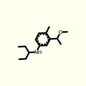 CCC(CC)Nc1ccc(C)c(C(C)OC)c1